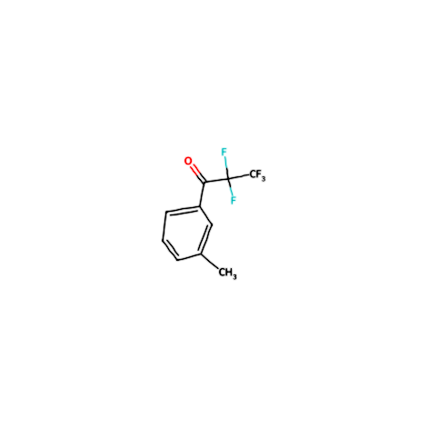 Cc1cccc(C(=O)C(F)(F)C(F)(F)F)c1